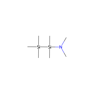 CN(C)[Si](C)(C)[Si](C)(C)C